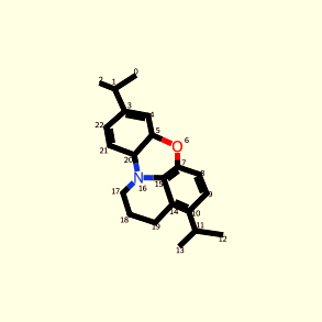 CC(C)C1=CC2Oc3ccc(C(C)C)c4c3N(CCC4)C2C=C1